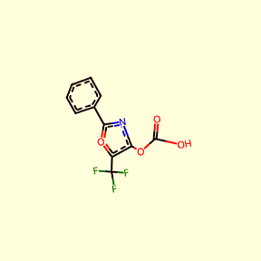 O=C(O)Oc1nc(-c2ccccc2)oc1C(F)(F)F